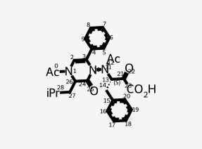 CC(=O)N1C=C(c2ccccc2)N(N(C(C)=O)[C@@H](Cc2ccccc2)C(=O)C(=O)O)C(=O)C1CC(C)C